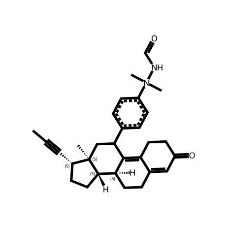 CC#C[C@H]1CC[C@H]2[C@@H]3CCC4=CC(=O)CCC4=C3C(c3ccc([N+](C)(C)NC=O)cc3)C[C@]12C